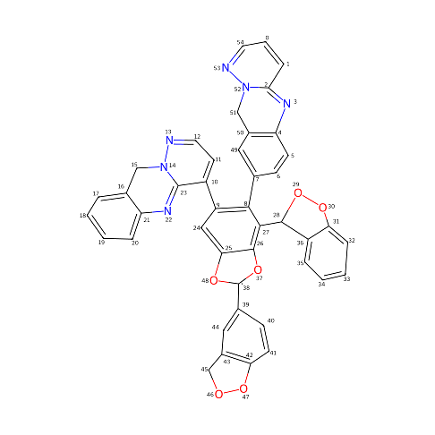 C1=CC2=Nc3ccc(-c4c(C5=CC=NN6Cc7ccccc7N=C56)cc5c(c4C4OOc6ccccc64)O[C](c4ccc6c(c4)COO6)O5)cc3CN2N=C1